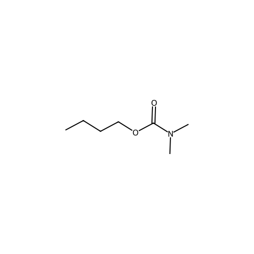 CCCCOC(=O)N(C)C